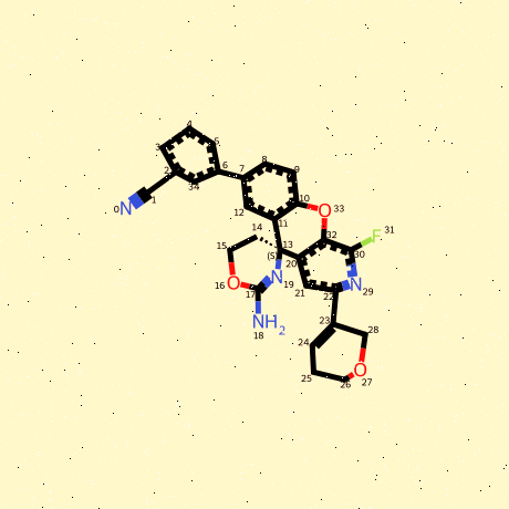 N#Cc1cccc(-c2ccc3c(c2)[C@@]2(CCOC(N)=N2)c2cc(C4=CCCOC4)nc(F)c2O3)c1